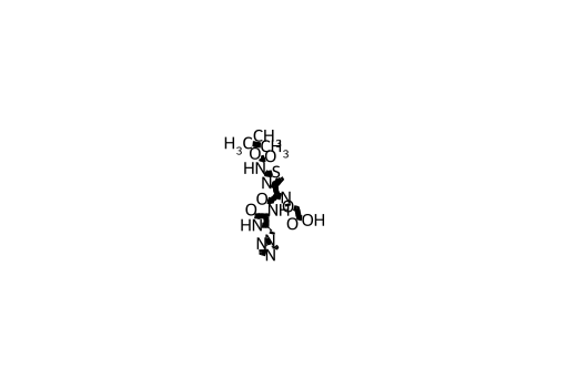 CC(C)(C)OC(=O)Nc1nc(C(=NOCC(=O)O)C(=O)N[C@@H]2C(=O)N[C@H]2Cn2cncn2)cs1